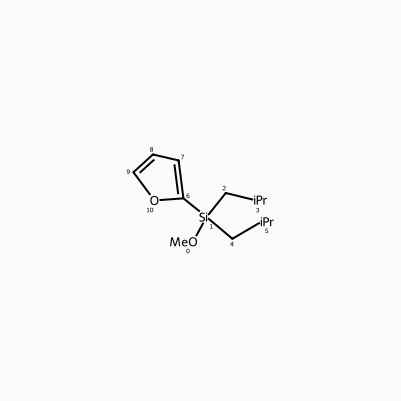 CO[Si](CC(C)C)(CC(C)C)c1ccco1